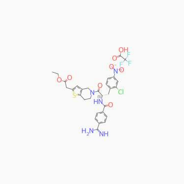 CCOC(=O)Cc1cc2c(s1)CCN(C(=O)[C@H](Cc1ccc([N+](=O)[O-])cc1Cl)NC(=O)c1ccc(C(=N)N)cc1)C2.O=C(O)C(F)(F)F